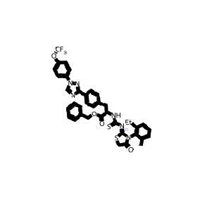 CCc1cccc(C)c1N1C(=O)CS/C1=N\C(=S)NC(Cc1ccc(-c2ncn(-c3ccc(OC(F)(F)F)cc3)n2)cc1)C(=O)OCc1ccccc1